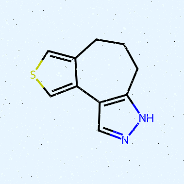 c1scc2c1CCCc1[nH]ncc1-2